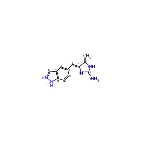 C=c1[nH]c(N)n/c1=C\c1ccc2[nH]ncc2c1